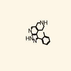 Cc1ccccc1-c1n[nH]c2ncc3c(c12)CCNC3